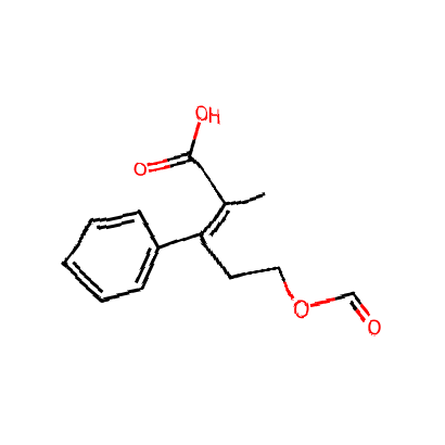 CC(C(=O)O)=C(CCOC=O)c1ccccc1